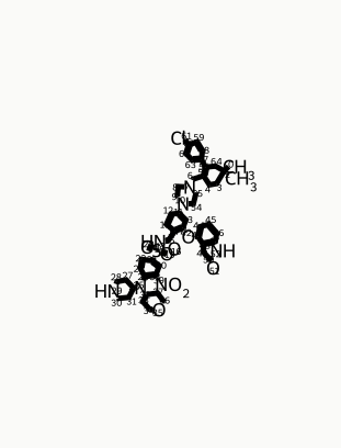 CC1(C)CCC(CN2CCN(c3ccc(C(=O)NS(=O)(=O)c4ccc(N(C5CCNCC5)C5CCOCC5)c([N+](=O)[O-])c4)c(Oc4cccc5c4CC(=O)N5)c3)CC2)=C(c2ccc(Cl)cc2)C1